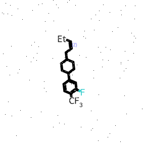 CC/C=C\CC1CCC(c2ccc(C(F)(F)F)c(F)c2)CC1